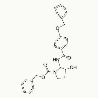 O=C(NC1C(O)CCN1C(=O)OCc1ccccc1)c1ccc(OCc2ccccc2)cc1